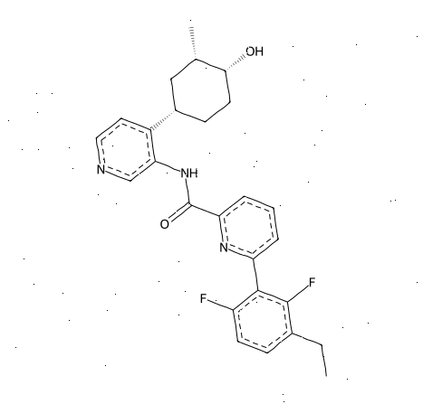 CCc1ccc(F)c(-c2cccc(C(=O)Nc3cnccc3[C@H]3CC[C@@H](O)[C@@H](C)C3)n2)c1F